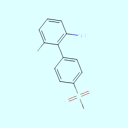 CS(=O)(=O)c1ccc(-c2c(N)cccc2F)cc1